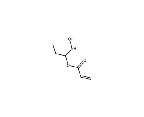 C=CC(=O)OC(CC)NO